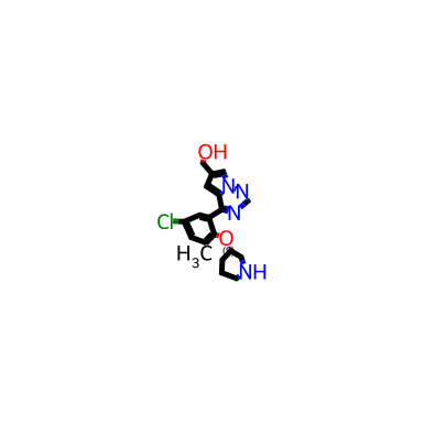 Cc1cc(Cl)cc(-c2ncnn3cc(CO)cc23)c1O[C@H]1CCCNC1